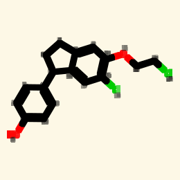 Oc1ccc(C2CCc3cc(OCCCl)c(Cl)cc32)cc1